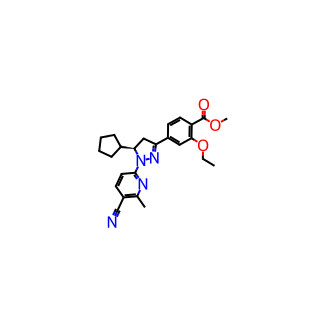 CCOc1cc(C2=NN(c3ccc(C#N)c(C)n3)[C@@H](C3CCCC3)C2)ccc1C(=O)OC